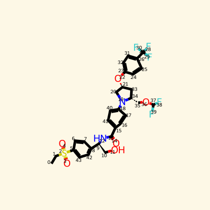 CCS(=O)(=O)c1ccc([C@H](CO)NC(=O)c2ccc(N3C[C@H](Oc4ccc(C(F)(F)F)cc4)C[C@@H]3COC(F)F)cc2)cc1